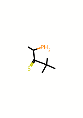 CC(P)C(=S)C(C)(C)C